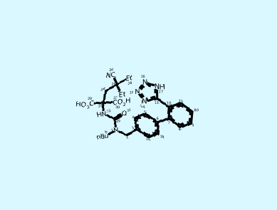 CCCCN(Cc1ccc(-c2ccccc2-c2nnn[nH]2)cc1)C(=O)NC(CC(C#N)(CC)CC)(C(=O)O)C(=O)O